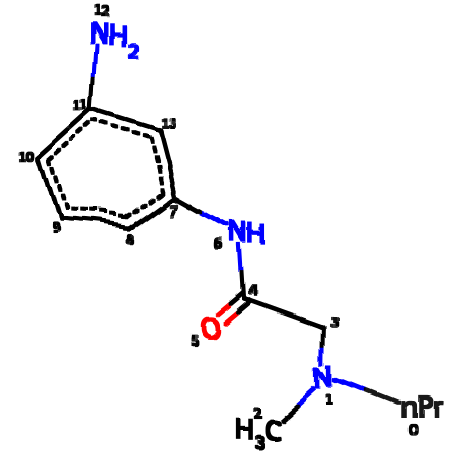 CCCN(C)CC(=O)Nc1cccc(N)c1